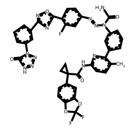 Cc1ccc(NC(=O)C2(c3ccc4c(c3)OC(F)(F)O4)CC2)nc1-c1cccc(N(/N=N/c2ccc(-c3nc(-c4cccc(-n5nn[nH]c5=O)c4)no3)c(F)c2)C(N)=O)c1